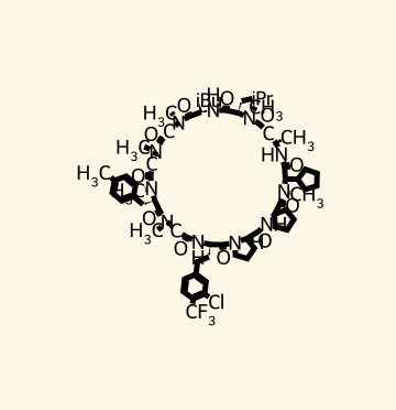 CC[C@H](C)[C@@H]1NC(=O)[C@H](CC(C)C)N(C)C(=O)C[C@@H](C)NC(=O)C(C2CCCC2)N(C)C(=O)C2(CCCC2)NC(=O)[C@@H]2CCCN2C(=O)[C@H](CCc2ccc(C(F)(F)F)c(Cl)c2)NC(=O)CN(C)C(=O)[C@H](Cc2ccc(C)cc2)N(C)C(=O)CN(C)C(=O)CN(C)C1=O